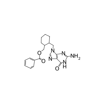 Nc1nc2c(ncn2CC2CCCCC2COC(=O)c2ccccc2)c(=O)[nH]1